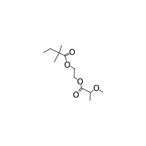 CCC(C)(C)C(=O)OCCOC(=O)C(C)OC